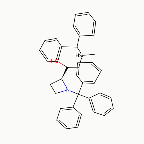 C[SiH](CC(O)[C@@H]1CCN1C(c1ccccc1)(c1ccccc1)c1ccccc1)C(c1ccccc1)c1ccccc1